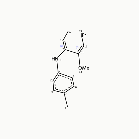 C/C=C(Nc1ccc(C)cc1)\C(=C/C(C)C)OC